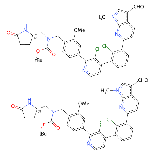 COc1cc(-c2nccc(-c3cccc(-c4ccc5c(C=O)cn(C)c5n4)c3Cl)c2Cl)ccc1CN(C[C@@H]1CCC(=O)N1)C(=O)OC(C)(C)C.COc1cc(-c2nccc(-c3cccc(-c4ccc5c(C=O)cn(C)c5n4)c3Cl)c2Cl)ccc1CN(C[C@@H]1CCC(=O)N1)C(=O)OC(C)(C)C